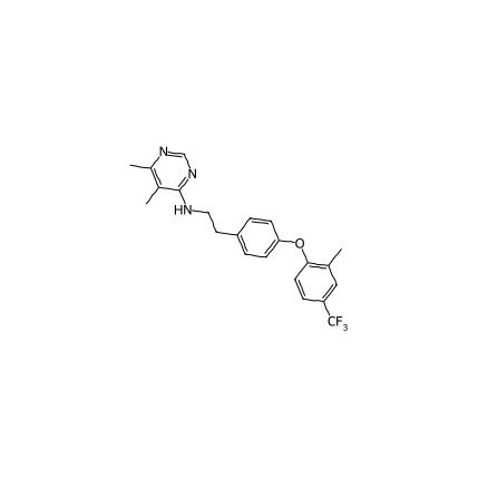 Cc1cc(C(F)(F)F)ccc1Oc1ccc(CCNc2ncnc(C)c2C)cc1